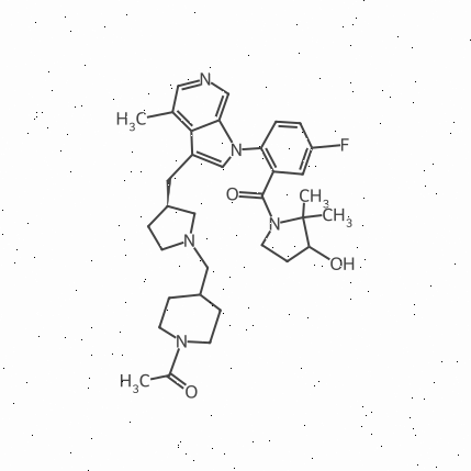 CC(=O)N1CCC(CN2CC[C@@H](Cc3cn(-c4ccc(F)cc4C(=O)N4CCC(O)C4(C)C)c4cncc(C)c34)C2)CC1